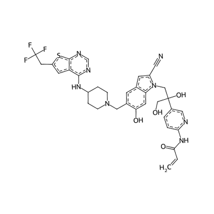 C=CC(=O)Nc1ccc(C(O)(CO)Cn2c(C#N)cc3cc(CN4CCC(Nc5ncnc6sc(CC(F)(F)F)cc56)CC4)c(O)cc32)cn1